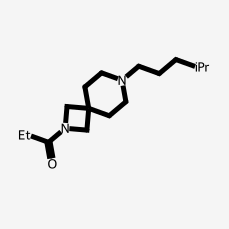 CCC(=O)N1CC2(CCN(CCCC(C)C)CC2)C1